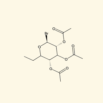 CCC1O[C@@H](Br)[C@H](OC(C)=O)C(OC(C)=O)[C@@H]1OC(C)=O